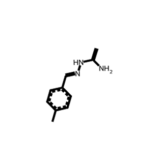 C=C(N)N/N=C/c1ccc(C)cc1